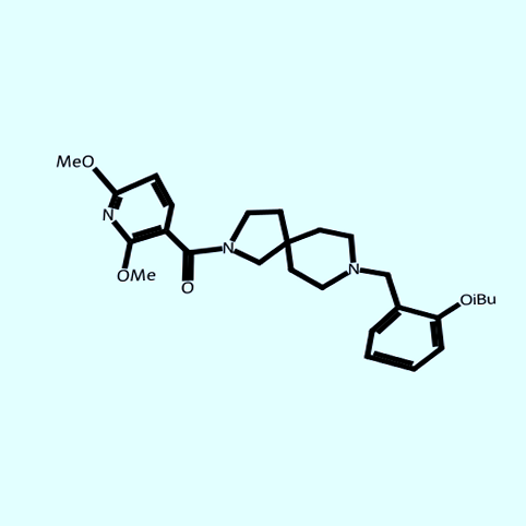 COc1ccc(C(=O)N2CCC3(CCN(Cc4ccccc4OCC(C)C)CC3)C2)c(OC)n1